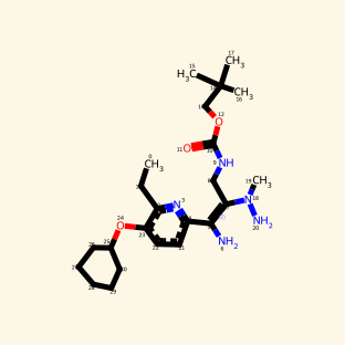 CCc1nc(/C(N)=C(\CNC(=O)OCC(C)(C)C)N(C)N)ccc1OC1CCCCC1